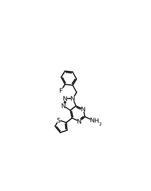 Nc1nc(-c2cccs2)c2nnn(Cc3ccccc3F)c2n1